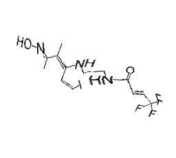 CC(=N\O)/C(C)=C(\C=C/I)NCCNC(=O)/C=C/C(F)(F)F